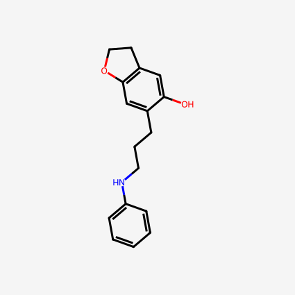 Oc1cc2c(cc1CCCNc1ccccc1)OCC2